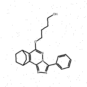 OCCCCOc1nn2c(-c3ccccc3)nnc2c2c1C1CCC2CC1